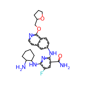 NC(=O)c1cc(F)c(NC2CCCCC2N)nc1Nc1ccc2c(OCC3CCCO3)nccc2c1